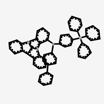 c1ccc(-c2ccc(N(c3ccc([Si](c4ccccc4)(c4ccccc4)c4ccccc4)cc3)c3cccc4c3n3c5ccccc5c5c6ccccc6n4c53)cc2)cc1